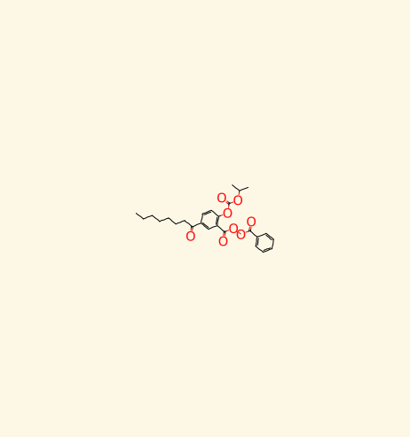 CCCCCCCC(=O)c1ccc(OC(=O)OC(C)C)c(C(=O)OOC(=O)c2ccccc2)c1